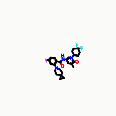 Cc1cc(NC(=O)c2ccc(I)cc2N2CCC3(CC2)CC3)cn(C2=CCC(F)(F)CC2)c1=O